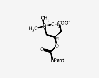 CCCCCC(=O)O[C@H](CC(=O)[O-])C[N+](C)(C)C